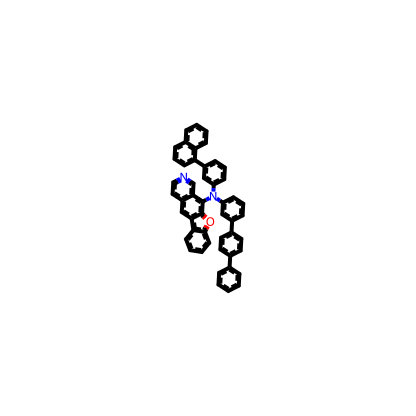 c1ccc(-c2ccc(-c3cccc(N(c4cccc(-c5cccc6ccccc56)c4)c4c5cnccc5cc5c4oc4ccccc45)c3)cc2)cc1